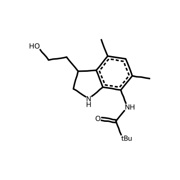 Cc1cc(C)c2c(c1NC(=O)C(C)(C)C)NCC2CCO